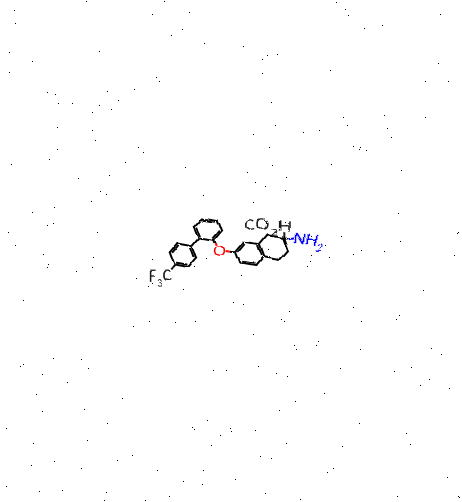 NC1(C(=O)O)CCc2ccc(Oc3ccccc3-c3ccc(C(F)(F)F)cc3)cc2C1